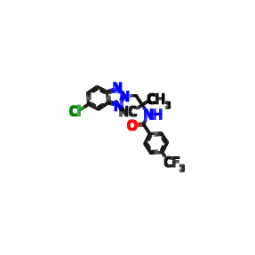 CC(C#N)(Cn1nc2ccc(Cl)cc2n1)NC(=O)c1ccc(C(F)(F)F)cc1